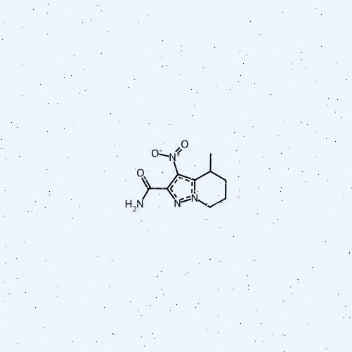 CC1CCCn2nc(C(N)=O)c([N+](=O)[O-])c21